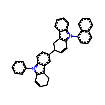 C1=Cc2c(c3cc(C4C=Cc5c(c6ccccc6n5-c5cccc6ccccc56)C4)ccc3n2-c2ccccc2)CC1